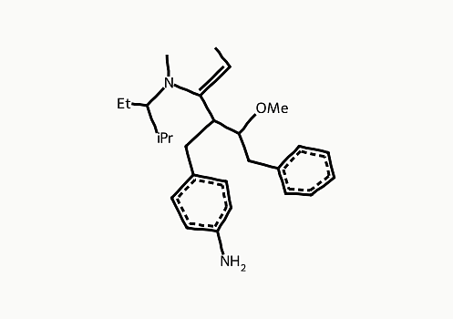 C/C=C(/C(Cc1ccc(N)cc1)C(Cc1ccccc1)OC)N(C)C(CC)C(C)C